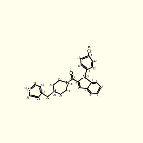 O=C(c1cc2ccccc2n1-c1ccc(Cl)cc1)N1CCN(Cc2ccncc2)CC1